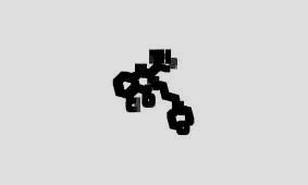 C[C@H](N)c1nc2cccc(Cl)c2c(=O)n1CCCN1CCOCC1